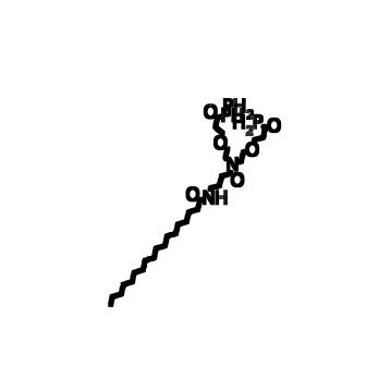 CCCCCCCCCCCCCCCCCC(=O)NCCCC(=O)N(CCOCCC(=O)P)CCOCCC(=O)PP